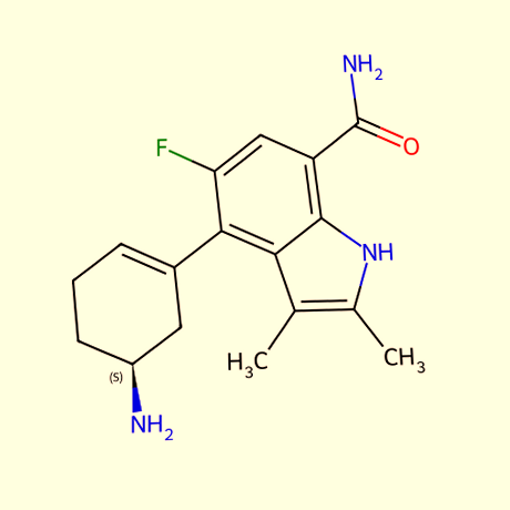 Cc1[nH]c2c(C(N)=O)cc(F)c(C3=CCC[C@H](N)C3)c2c1C